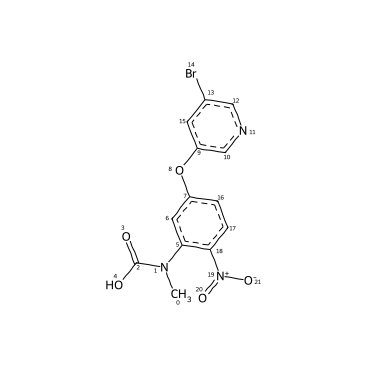 CN(C(=O)O)c1cc(Oc2cncc(Br)c2)ccc1[N+](=O)[O-]